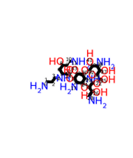 NCCCN[C@@H]1C[C@H](O)[C@@H](CN)O[C@@H]1OC1[C@@H](N)C[C@@H](NC(=O)C(O)C(O)CN)[C@H](O[C@H]2O[C@H](CO)[C@@H](O)[C@H](N)[C@H]2O)[C@H]1O